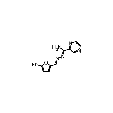 CCc1ccc(C=NN=C(N)c2cnccn2)o1